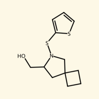 OCC1CC2(CCC2)CN1Sc1cccs1